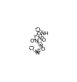 C[C@H](NC(=O)c1coc(C2CN(C(=O)c3cnn(Cc4ccccc4)c3)CC23CN(C(=O)[C@H]2CC2(C)C)C3)n1)c1ccccc1